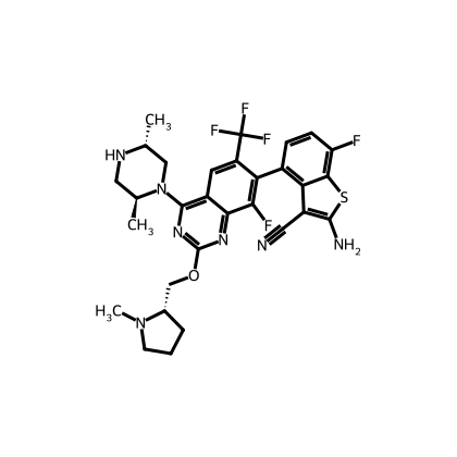 C[C@@H]1CN(c2nc(OC[C@@H]3CCCN3C)nc3c(F)c(-c4ccc(F)c5sc(N)c(C#N)c45)c(C(F)(F)F)cc23)[C@@H](C)CN1